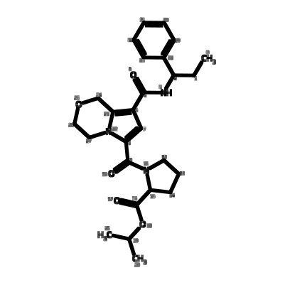 CCC(NC(=O)c1cc(C(=O)N2CCCC2C(=O)OC(C)C)n2c1COCC2)c1ccccc1